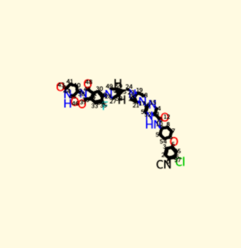 N#Cc1ccc(OC2CCC(NC(=O)c3cnc(N4CC5CC4CN5C[C@H]4[C@@H]5CN(c6cc7c(cc6F)C(=O)N(C6CCC(=O)NC6=O)C7=O)C[C@@H]54)cn3)CC2)cc1Cl